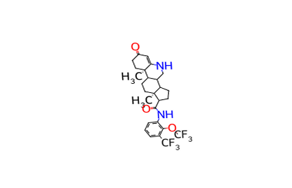 C[C@]12CCC3C(CNC4=CC(=O)CC[C@@]43C)C1CCC2C(=O)Nc1cccc(C(F)(F)F)c1OC(F)(F)F